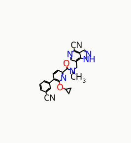 CN(Cc1cnc(C#N)c2cn[nH]c12)C(=O)c1ccc(-c2cccc(C#N)c2)c(OC2CC2)n1